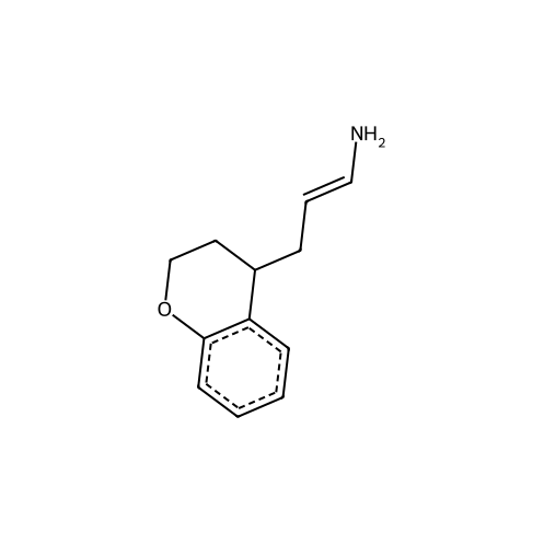 NC=CCC1CCOc2ccccc21